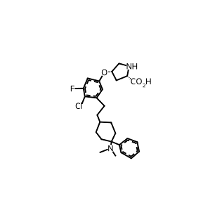 CN(C)C1(c2ccccc2)CCC(CCc2cc(O[C@@H]3CN[C@H](C(=O)O)C3)cc(F)c2Cl)CC1